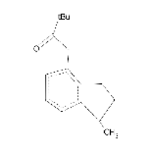 CC1CCc2c(CC(=O)C(C)(C)C)cccc21